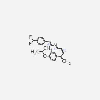 C=C(\C=C/C=N/C=C/c1ccc(C(F)F)cc1)c1ccc(OC(C)C)cc1